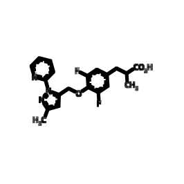 Cc1cc(COc2c(F)cc(CC(C)C(=O)O)cc2F)n(-c2ccccn2)n1